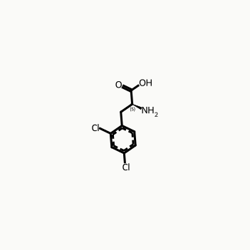 N[C@@H](Cc1ccc(Cl)cc1Cl)C(=O)O